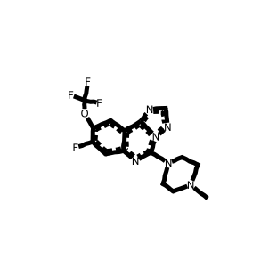 CN1CCN(c2nc3cc(F)c(OC(F)(F)F)cc3c3ncnn23)CC1